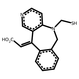 O=C(O)C=C1c2ccccc2CN(CS)c2ccncc21